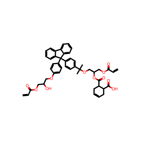 C=CC(=O)OCC(O)COc1ccc(C2(c3ccc(C(C)(C)OCC(COC(=O)C=C)OC(=O)C4CC=CCC4C(=O)O)cc3)c3ccccc3-c3ccccc32)cc1